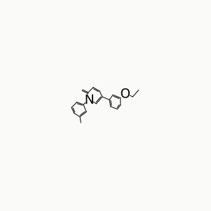 C=C1C=CC(c2cccc(OCC)c2)=CN1c1cccc(C)c1